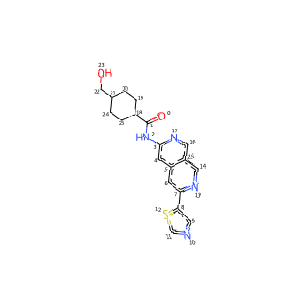 O=C(Nc1cc2cc(-c3cncs3)ncc2cn1)C1CCC(CO)CC1